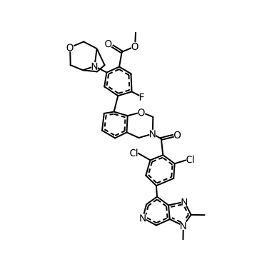 COC(=O)c1cc(F)c(-c2cccc3c2OCN(C(=O)c2c(Cl)cc(-c4cncc5c4nc(C)n5C)cc2Cl)C3)cc1N1C2CCC1COC2